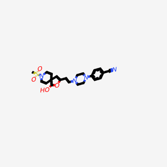 CS(=O)(=O)N1CCC2(CC1)CC(CCN1CCN(c3ccc(C#N)cc3)CC1)OC2O